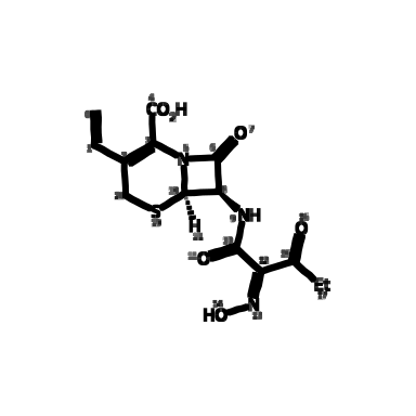 C=CC1=C(C(=O)O)N2C(=O)[C@@H](NC(=O)/C(=N\O)C(=O)CC)[C@H]2SC1